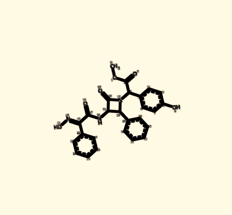 COC(=O)C(c1ccc(O)cc1)N1C(=O)C(NC(=O)/C(=N/O)c2ccccc2)C1c1ccccc1